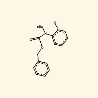 [CH2]CCCN(C(=O)OCc1ccccc1)c1cccc[n+]1[O-]